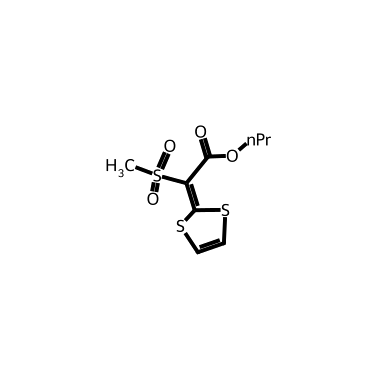 CCCOC(=O)C(=C1SC=CS1)S(C)(=O)=O